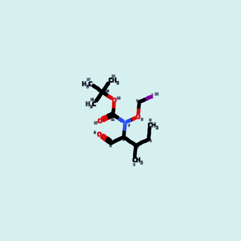 CCC(C)C([C]=O)N(OCI)C(=O)OC(C)(C)C